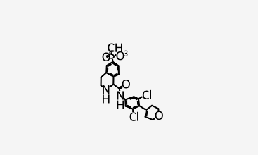 CS(=O)(=O)c1ccc2c(c1)CCNC2C(=O)Nc1cc(Cl)c(C2=CCOCC2)c(Cl)c1